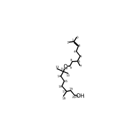 CC(C)=CCCC(C)CCOC(C)(C)CCCC(C)CCO